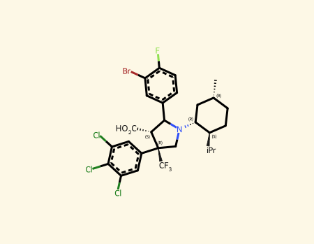 CC(C)[C@@H]1CC[C@@H](C)C[C@H]1N1C[C@@](c2cc(Cl)c(Cl)c(Cl)c2)(C(F)(F)F)[C@H](C(=O)O)C1c1ccc(F)c(Br)c1